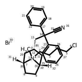 C[N+]1(CCCCCl)[C@@H]2CC[C@H]1C[C@@H](CC(C#N)(c1ccccc1)c1ccccc1)C2.[Br-]